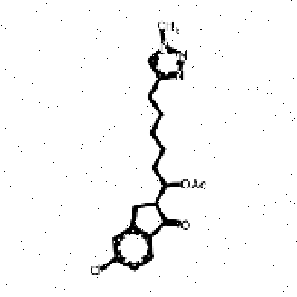 CC(=O)OC(CCCCCc1cn(C)nn1)C1Cc2cc(Cl)ccc2C1=O